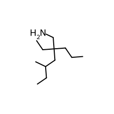 CCCC(CC)(CN)CC(C)CC